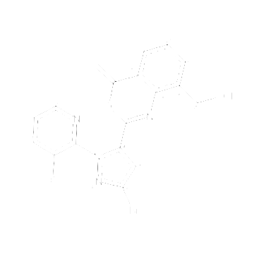 C=C1OC(c2cc(Br)nn2-c2ncccc2Cl)=Nc2c(CO)cccc21